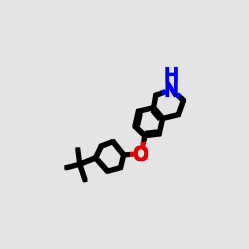 CC(C)(C)C1CCC(Oc2ccc3c(c2)CCNC3)CC1